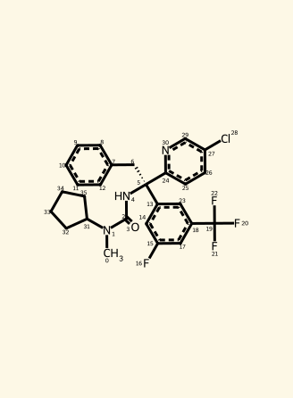 CN(C(=O)N[C@](Cc1ccccc1)(c1cc(F)cc(C(F)(F)F)c1)c1ccc(Cl)cn1)C1CCCC1